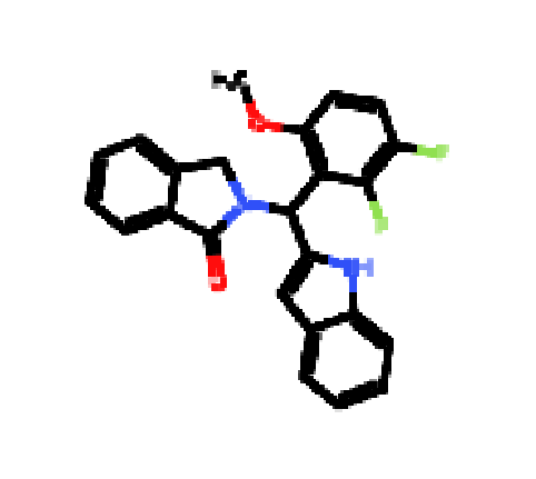 COc1ccc(F)c(F)c1C(c1cc2ccccc2[nH]1)N1Cc2ccccc2C1=O